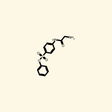 NCC(=O)Nc1ccc(S(=O)(=O)Oc2ccccc2)cc1